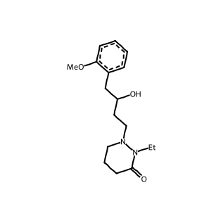 [CH2]CN1C(=O)CCCN1CCC(O)Cc1ccccc1OC